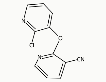 N#Cc1cccnc1Oc1cccnc1Cl